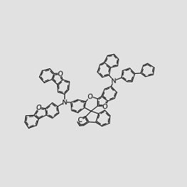 c1ccc(-c2ccc(N(c3ccc4oc5c(c4c3)Oc3cc(N(c4ccc6c(c4)oc4ccccc46)c4ccc6oc7ccccc7c6c4)ccc3C53c4ccccc4-c4ccccc43)c3cccc4ccccc34)cc2)cc1